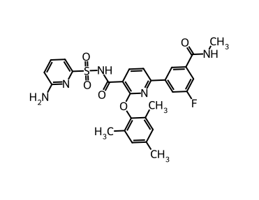 CNC(=O)c1cc(F)cc(-c2ccc(C(=O)NS(=O)(=O)c3cccc(N)n3)c(Oc3c(C)cc(C)cc3C)n2)c1